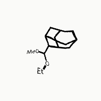 CCOC(OC)C1C2CC3CC(C2)CC1C3